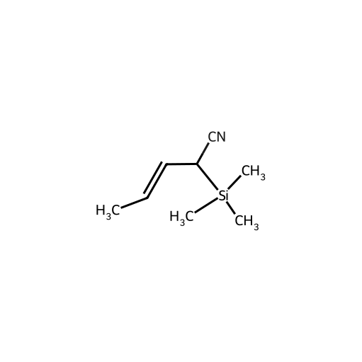 CC=CC(C#N)[Si](C)(C)C